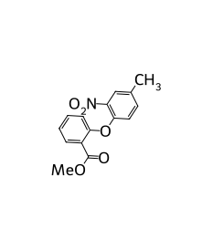 COC(=O)c1ccccc1Oc1ccc(C)cc1[N+](=O)[O-]